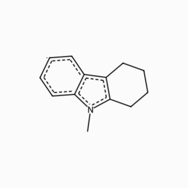 Cn1c2c(c3c[c]ccc31)CCCC2